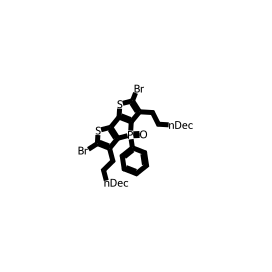 CCCCCCCCCCCCc1c(Br)sc2c1P(=O)(c1ccccc1)c1c-2sc(Br)c1CCCCCCCCCCCC